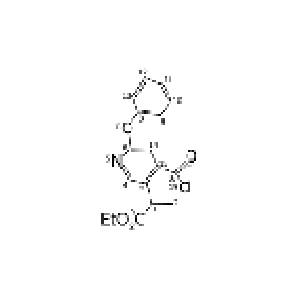 CCOC(=O)C(C)c1cnc(Oc2ccccc2)cc1C(=O)Cl